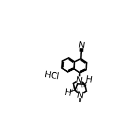 CN1C[C@@H]2C[C@H]1CN2c1ccc(C#N)c2ccccc12.Cl